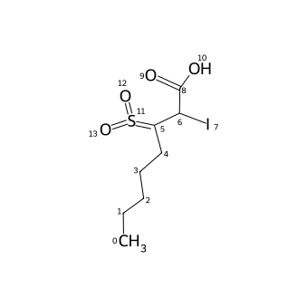 CCCCCC(C(I)C(=O)O)=S(=O)=O